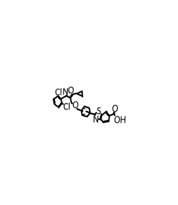 O=C(O)c1ccc2nc(C34CCC(COCc5c(-c6c(Cl)cccc6Cl)noc5C5CC5)(CC3)CC4)sc2c1